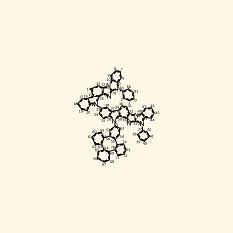 c1ccc(-n2c3ccccc3n3c4ccc5c6ccccc6n(-c6ccc7c(c6)c6ccc8c(nc9n(-c%10ccccc%10)c%10ccccc%10n89)c6n7-c6ccc7c(c6)-c6ccccc6-c6ccccc6-c6ccccc6-7)c5c4nc23)cc1